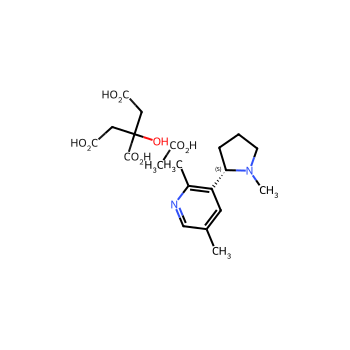 CC(=O)O.Cc1cnc(C)c([C@@H]2CCCN2C)c1.O=C(O)CC(O)(CC(=O)O)C(=O)O